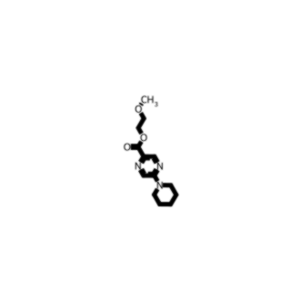 COCCOC(=O)c1cnc(N2CCCCC2)cn1